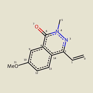 C=Cc1nn(C)c(=O)c2cc(OC)ccc12